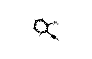 N#Cc1ncccc1N